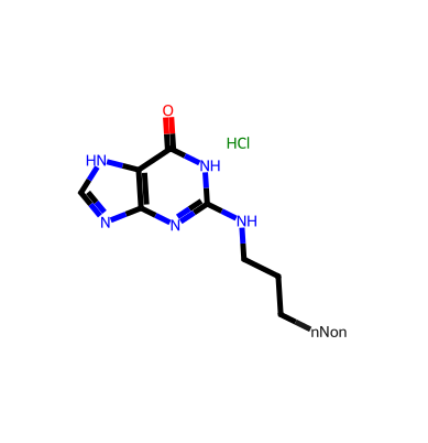 CCCCCCCCCCCCNc1nc2nc[nH]c2c(=O)[nH]1.Cl